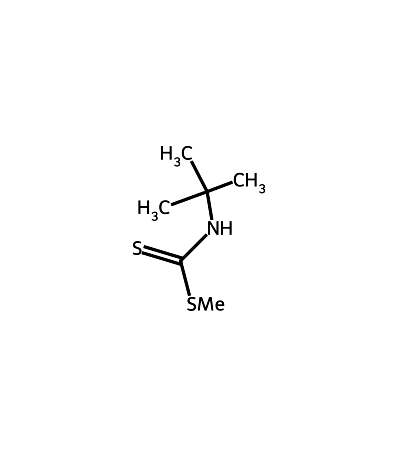 CSC(=S)NC(C)(C)C